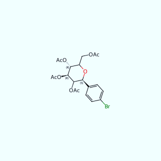 CC(=O)OCC1O[C@@H](c2ccc(Br)cc2)C(OC(C)=O)[C@@H](OC(C)=O)[C@@H]1OC(C)=O